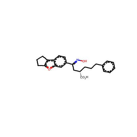 O=C(O)[C@@H](CCCc1ccccc1)CC(=NO)c1ccc2c3c(oc2c1)CCC3